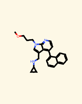 COCCCn1cc(CNC2CC2)c2c(-c3cccc4ccccc34)ccnc21